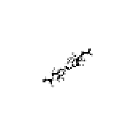 CCC(=O)N1C[C@@H]2CN(C(=O)O[C@@H]3CC[C@]4(CO4)[C@@H]([C@@]4(C)O[C@@H]4CC=C(C)C)[C@@H]3OC)C[C@@H]2C1